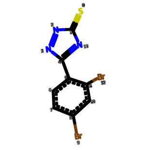 S=C1N=NC(c2ccc(Br)cc2Br)=N1